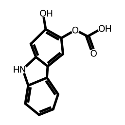 O=C(O)Oc1cc2c(cc1O)[nH]c1ccccc12